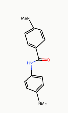 CNc1ccc(NC(=O)c2ccc(NC)cc2)cc1